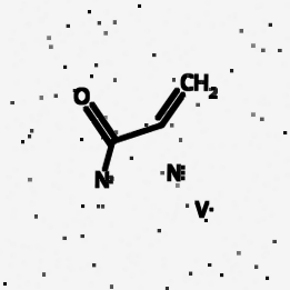 C=CC([N])=O.[N].[V]